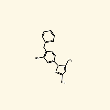 Cc1cc(C)n(-c2ccc(Oc3ccccc3)c(S)c2)n1